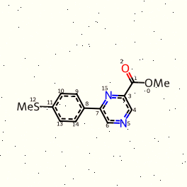 COC(=O)c1cncc(-c2ccc(SC)cc2)n1